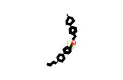 C=CCC[C@H]1CC[C@H](c2ccc(C(F)(F)OCCc3ccc([C@H]4CC[C@H](C)CC4)cc3)cc2)CC1